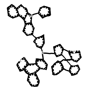 c1ccc(-n2c3cc(-c4ccc(N(c5ccc6c(c5)C5(c7ccccc7-c7ccccc75)c5ccccc5-6)c5ccc6c7ccccc7c7ccccc7c6c5)cc4)ccc3c3c4ccccc4ccc32)cc1